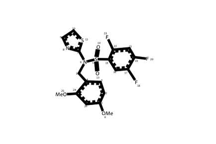 COc1ccc(CN(c2nccs2)S(=O)(=O)c2cc(F)c(F)cc2F)c(OC)c1